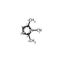 Cc1cnc(C)n1C#N